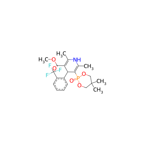 COC(=O)C1=C(C)NC(C)=C(P2(=O)OCC(C)(C)CO2)C1c1ccccc1C(F)(F)F